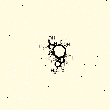 C/C1=C/[C@@H]2C=C(CO)[C@H](C)C[C@]23OC(=O)C(=C(O)[C@@]2(C)[C@H]4[C@H](C=C[C@H]2/C(C)=C\C[C@@H]1O)[C@@H](O)[C@@H](C)C[C@@H]4C)C3=O